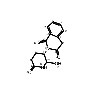 O=C1CC[C@H](N2C(=O)Cc3ccccc3C2=S)C(O)N1